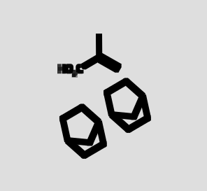 C1CC2CCC1C2.C1CC2CCC1C2.C=C(C)C(=O)O